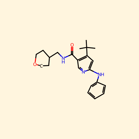 CC(C)(C)c1cc(Nc2ccccc2)ncc1C(=O)NCC1CCOCC1